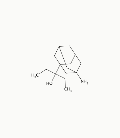 CCC(O)(CC)C12CC3CC(CC(N)(C3)C1)C2